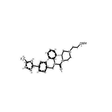 COCCN1CCN(C(=O)N(Cc2ccc(-c3nnc(C(F)(F)F)o3)cc2)c2ccccc2)CC1